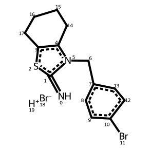 N=c1sc2c(n1Cc1ccc(Br)cc1)CCCC2.[Br-].[H+]